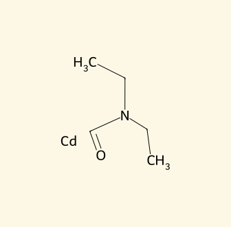 CCN(C=O)CC.[Cd]